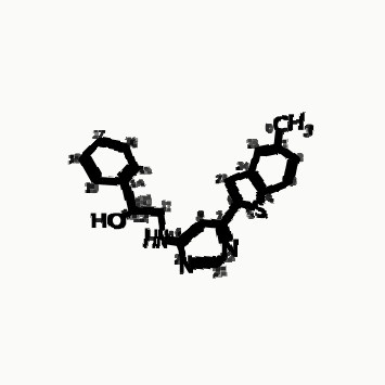 Cc1ccc2sc(-c3cc(NC[C@H](O)c4ccccc4)ncn3)cc2c1